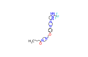 CCCCC(=O)N1CCN(CCOc2ccc(N3CCN(C4=Nn5c(nnc5C(F)(F)F)CC4)CC3)cc2)CC1